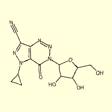 N#Cc1nn(C2CC2)c2c(=O)n(C3OC(CO)C(O)C3O)nnc12